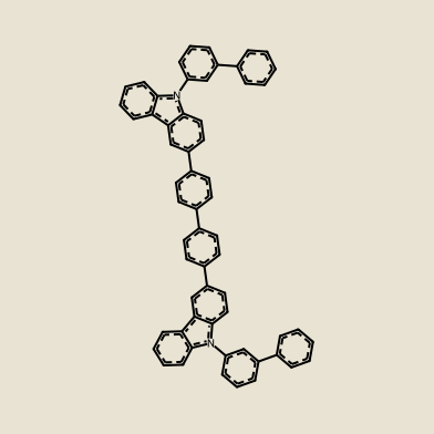 c1ccc(-c2cccc(-n3c4ccccc4c4cc(-c5ccc(-c6ccc(-c7ccc8c(c7)c7ccccc7n8-c7cccc(-c8ccccc8)c7)cc6)cc5)ccc43)c2)cc1